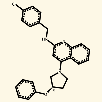 Clc1ccc(CNc2cc(N3CC[C@@H](Oc4ccccc4)C3)c3ccccc3n2)cc1